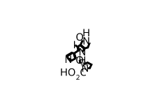 O=C1NCCc2[nH]c(-c3ccncc3OC[C@@H]3CCCN3C(=O)O)c(I)c21